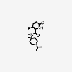 CC(C)N1CCC(C)(NC(=O)c2[nH]c(=O)ccc2F)CC1